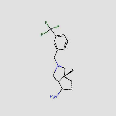 NC1CC[C@H]2CN(Cc3cccc(C(F)(F)F)c3)CC12